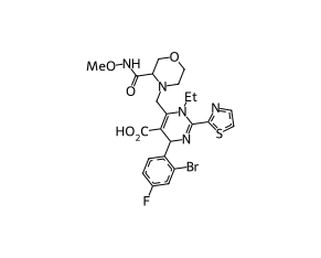 CCN1C(c2nccs2)=NC(c2ccc(F)cc2Br)C(C(=O)O)=C1CN1CCOCC1C(=O)NOC